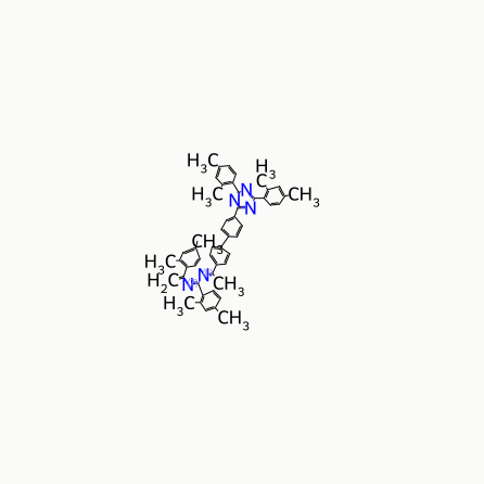 C=C(/N=C(\N=C(/C)c1ccc(-c2ccc(-c3nc(-c4ccc(C)cc4C)nc(-c4ccc(C)cc4C)n3)cc2)cc1)c1ccc(C)cc1C)c1ccc(C)cc1C